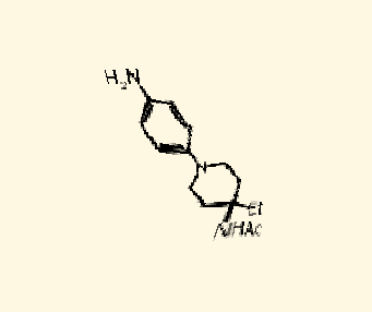 CCC1(NC(C)=O)CCN(c2ccc(N)cc2)CC1